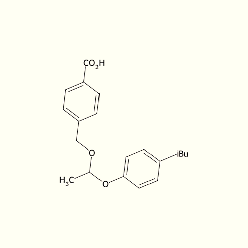 CCC(C)c1ccc(OC(C)OCc2ccc(C(=O)O)cc2)cc1